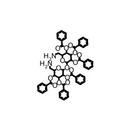 NCC1OC(OC2OC(CN)C(OC(=O)c3ccccc3)C(OC(=O)c3ccccc3)C2OC(=O)c2ccccc2)C(OC(=O)c2ccccc2)C(OC(=O)c2ccccc2)C1OC(=O)c1ccccc1